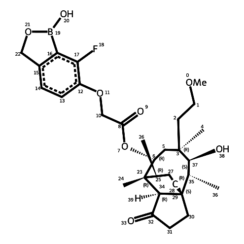 COCC[C@]1(C)C[C@@H](OC(=O)COc2ccc3c(c2F)B(O)OC3)[C@]2(C)[C@H](C)CC[C@]3(CCC(=O)[C@H]32)[C@@H](C)[C@@H]1O